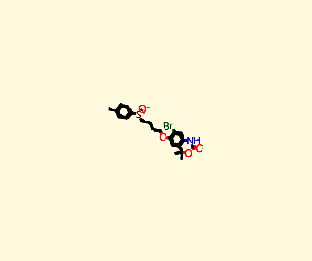 Cc1ccc([S+]([O-])CCCCOc2cc3c(cc2Br)NC(=O)OC3(C)C)cc1